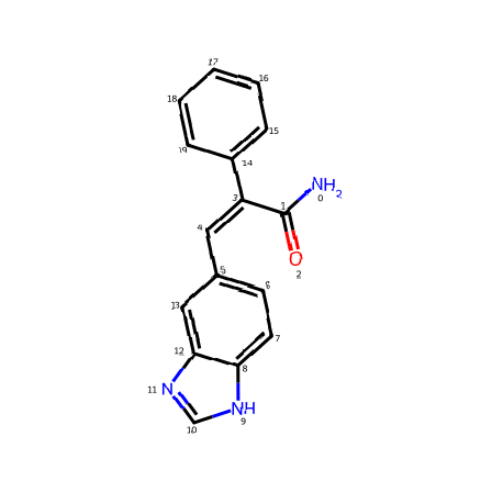 NC(=O)C(=Cc1ccc2[nH]cnc2c1)c1ccccc1